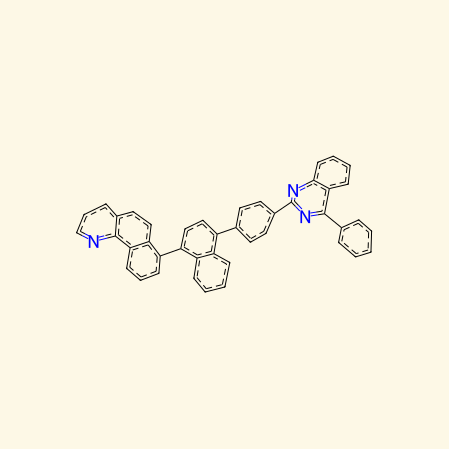 c1ccc(-c2nc(-c3ccc(-c4ccc(-c5cccc6c5ccc5cccnc56)c5ccccc45)cc3)nc3ccccc23)cc1